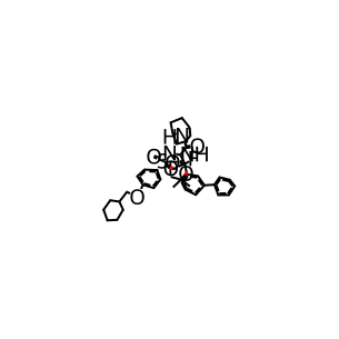 CC(C)(C)OC(=O)NC1CC2CCC(C1)N2C(=O)C(NS(=O)(=O)c1ccc(OCC2CCCCC2)cc1)C(F)(F)c1cccc(-c2ccccc2)c1